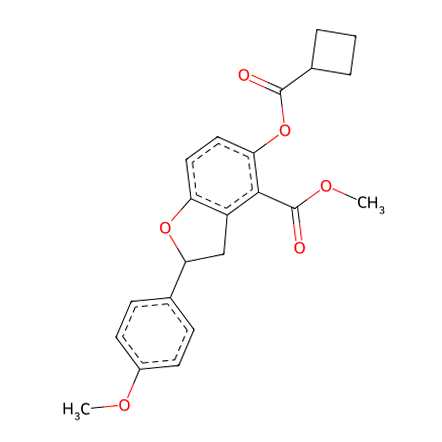 COC(=O)c1c(OC(=O)C2CCC2)ccc2c1CC(c1ccc(OC)cc1)O2